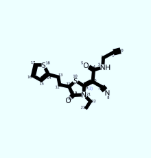 C#CCNC(=O)/C(C#N)=C1\SC(CCc2cccs2)C(=O)N1CC